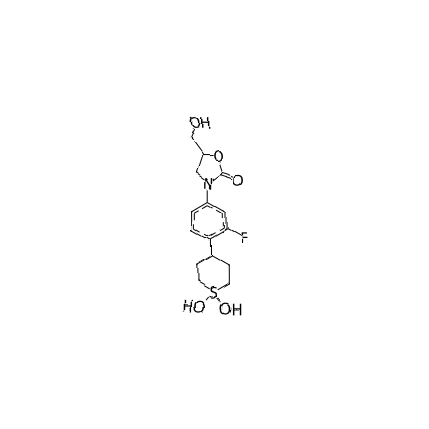 O=C1OC(CO)CN1c1ccc(C2CCS(O)(O)CC2)c(F)c1